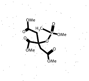 COC(=O)CC(CC(=O)OC)(OP(C)(=O)OC)C(=O)OC